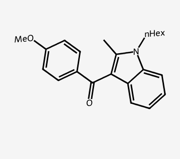 CCCCCCn1c(C)c(C(=O)c2ccc(OC)cc2)c2ccccc21